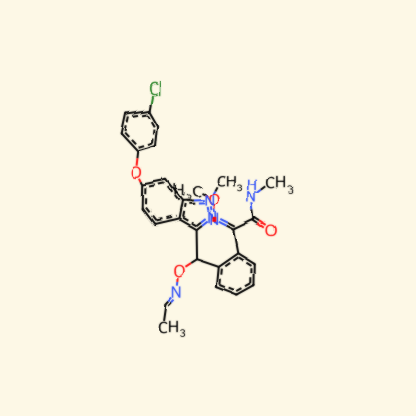 CC=NOC(c1ccccc1C(=NOC)C(=O)NC)c1nn(C)c2cc(Oc3ccc(Cl)cc3)ccc12